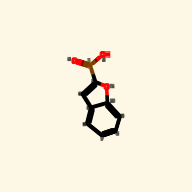 O=S(O)c1cc2ccccc2o1